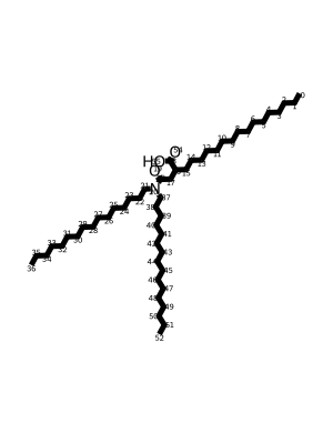 CCCCCCCCCCCCCCCCC(CC(=O)N(CCCCCCCCCCCCCCCC)CCCCCCCCCCCCCCCC)C(=O)O